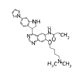 C=CC(=O)Nc1cc2c(C3CNc4cc(-n5cccc5)ccc43)ncnc2cc1OCCCCN(C)C